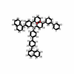 c1ccc(-c2cccc(-c3ccc(N(c4ccc(-c5ccc(-c6cccc7ccccc67)cc5)cc4)c4cc(-c5cccc6ccccc56)ccc4-c4ccccc4)cc3)c2)cc1